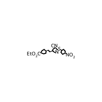 CCOC(=O)c1ccc(/C=C/c2cnc(Sc3ccc([N+](=O)[O-])cc3)c(C#N)c2)cc1